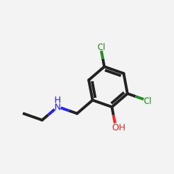 CCNCc1cc(Cl)cc(Cl)c1O